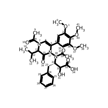 COc1cc(C2=CN(C(C)=O)C(C(C)C)C(=O)N2N(C(C)=O)[C@@H](Cc2ccccc2)C(O)C(=O)O)cc(OC)c1OC